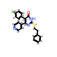 O=c1[nH]c(SCCc2ccccc2)nc(-c2ccncc2)c1-c1ccc(F)cc1